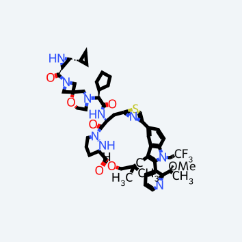 CO[C@@H](C)c1ncccc1-c1c2c3cc(ccc3n1CC(F)(F)F)-c1csc(n1)C[C@H](NC(=O)[C@H](C1CCCC1)N1CCOC3(CN(C(=O)[C@@H]4N[C@@H]4C4CC4)C3)C1)C(=O)N1CCC[C@H](N1)C(=O)OCC(C)(C)C2